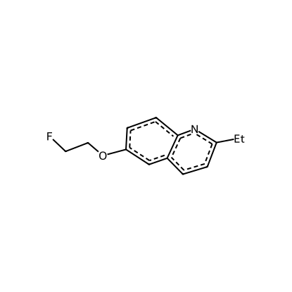 CCc1ccc2cc(OCCF)ccc2n1